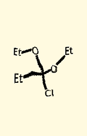 CCOC(Cl)(CC)OCC